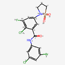 O=C(Nc1cc(Cl)cc(Br)c1)c1cc(N2CCCS2(=O)=O)cc(F)c1Cl